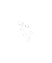 CCCCC(CC)C[Si]1(CC(CC)CCCC)c2cc(-c3c(-c4ccccc4)c(C)c4ccccn34)ccc2C(=O)c2ccc(-c3c(-c4ccccc4)c(C)c4ccccn34)cc21